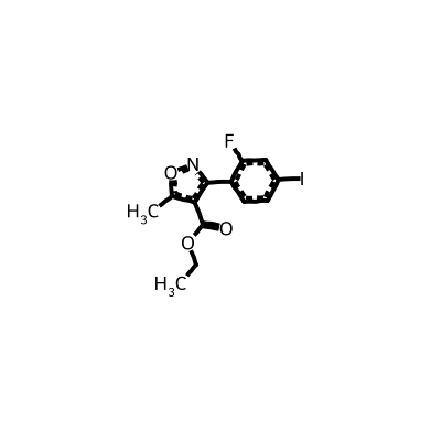 CCOC(=O)c1c(-c2ccc(I)cc2F)noc1C